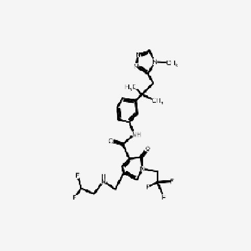 Cn1cnnc1CC(C)(C)c1cccc(NC(=O)c2cc(CNCC(F)F)cn(CC(F)(F)F)c2=O)c1